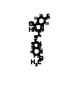 COc1ccc2sc(SCc3nc4cc(F)ccc4c(=O)[nH]3)nc2n1